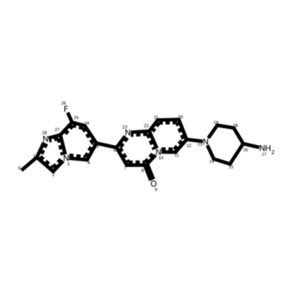 Cc1cn2cc(-c3cc(=O)n4cc(N5CCC(N)CC5)ccc4n3)cc(F)c2n1